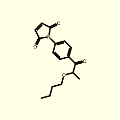 CCCCOC(C)C(=O)c1ccc(N2C(=O)C=CC2=O)cc1